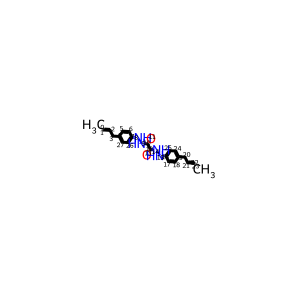 CC=CCc1ccc(NNC(=O)C(=O)NNc2ccc(CC=CC)cc2)cc1